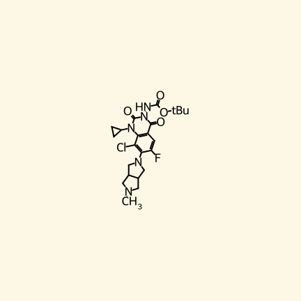 CN1CC2CN(c3c(F)cc4c(=O)n(NC(=O)OC(C)(C)C)c(=O)n(C5CC5)c4c3Cl)CC2C1